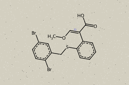 CO/C=C(/C(=O)O)c1ccccc1SCc1cc(Br)ccc1Br